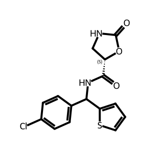 O=C1NC[C@@H](C(=O)NC(c2ccc(Cl)cc2)c2cccs2)O1